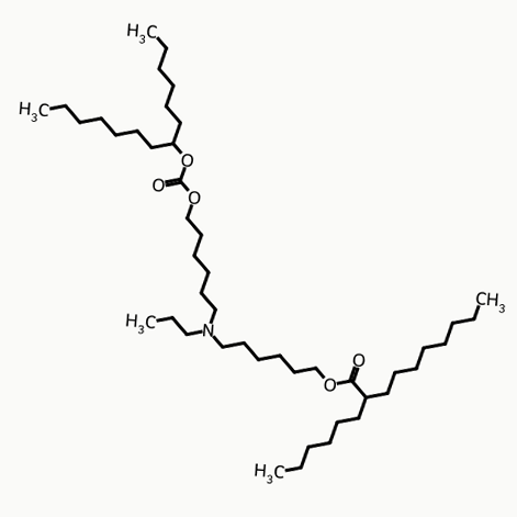 CCCCCCCCC(CCCCCC)C(=O)OCCCCCCN(CCC)CCCCCCOC(=O)OC(CCCCCC)CCCCCCC